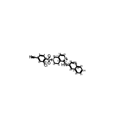 N#Cc1ccc(S(=O)(=O)N2CCc3c(ccnc3Nc3cnc4ccccc4c3)C2)c(Cl)c1